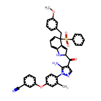 COc1cccc(CC2(S(=O)(=O)c3ccccc3)C=CC=C3NC(C(=O)c4cnn(-c5ccc(Oc6cccc(C#N)c6)cc5C)c4N)C=C32)c1